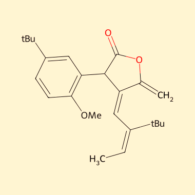 C=C1OC(=O)C(c2cc(C(C)(C)C)ccc2OC)/C1=C/C(=C\C)C(C)(C)C